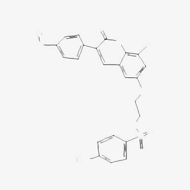 CCOc1ccc(-c2cc3cc(OCCOS(=O)(=O)c4ccc(C)cc4)cc(Br)c3oc2=O)cc1